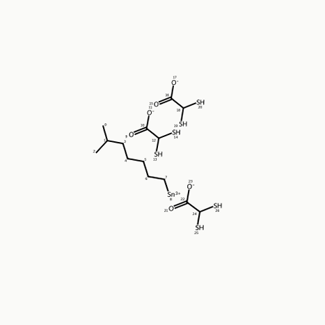 CC(C)CCCC[CH2][Sn+3].O=C([O-])C(S)S.O=C([O-])C(S)S.O=C([O-])C(S)S